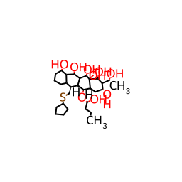 CCCC(O)O[C@H]1[C@H]2C(C(O)C3C(O)CCCC3[C@@H]2CSC2CCCC2)C(O)[C@]2(O)C(O)C(C(C)O)C(O)C[C@H]12